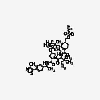 Cc1ncsc1-c1ccc([C@H](C)NC(=O)[C@@H]2C[C@@H](O[Si](C)(C)C(C)(C)C)CN2C(=O)[C@@H](NC(=O)C2CCC(COS(C)(=O)=O)CC2)C(C)(C)C)cc1